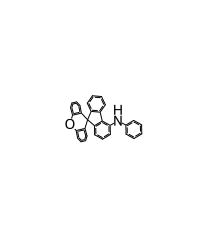 c1ccc(Nc2cccc3c2-c2ccccc2C32c3ccccc3Oc3ccccc32)cc1